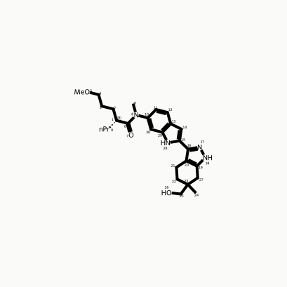 CCC[C@H](CCCOC)C(=O)N(C)c1ccc2cc(-c3n[nH]c4c3CCC(C)(CO)C4)[nH]c2c1